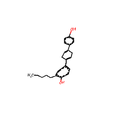 CCCCCc1cc(C2=CCC(c3ccc(O)cc3)=CC2)ccc1O